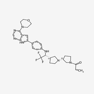 C=CC(=O)N1CC[C@@H](N2CC[C@H](C(Nc3ccc(-c4cc5c(N6CCOCC6)ncnc5[nH]4)cc3)C(F)(F)F)C2)C1